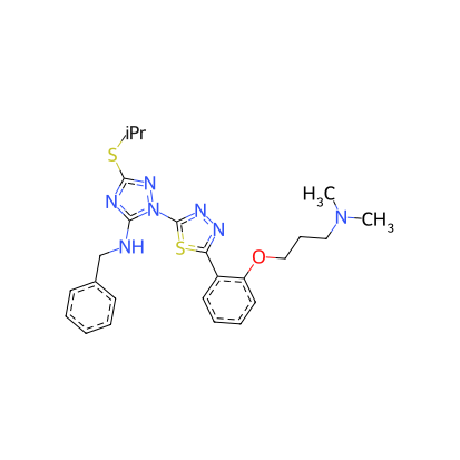 CC(C)Sc1nc(NCc2ccccc2)n(-c2nnc(-c3ccccc3OCCCN(C)C)s2)n1